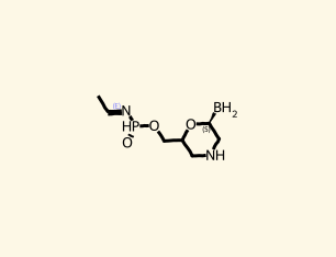 B[C@H]1CNCC(CO[PH](=O)/N=C/C)O1